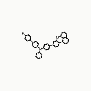 Fc1ccc(-c2ccc(N(c3ccccc3)c3ccc(-c4ccc5c(c4)Oc4cccc6cccc-5c46)cc3)cc2)cc1